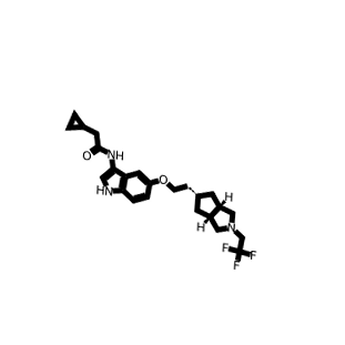 O=C(CC1CC1)Nc1c[nH]c2ccc(OCC[C@@H]3C[C@@H]4CN(CC(F)(F)F)C[C@@H]4C3)cc12